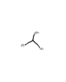 CCC[C](CCC)C(C)C